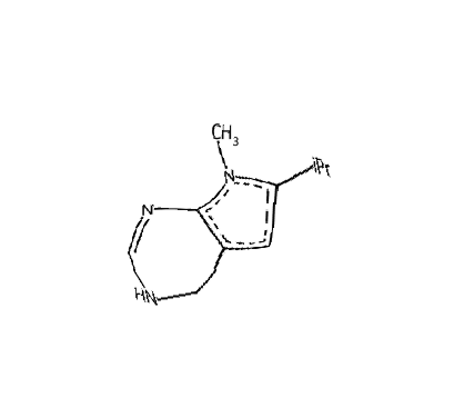 CC(C)c1cc2c(n1C)N=CNC2